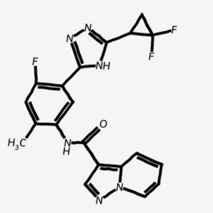 Cc1cc(F)c(-c2nnc(C3CC3(F)F)[nH]2)cc1NC(=O)c1cnn2ccccc12